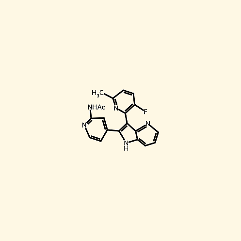 CC(=O)Nc1cc(-c2[nH]c3cccnc3c2-c2nc(C)ccc2F)ccn1